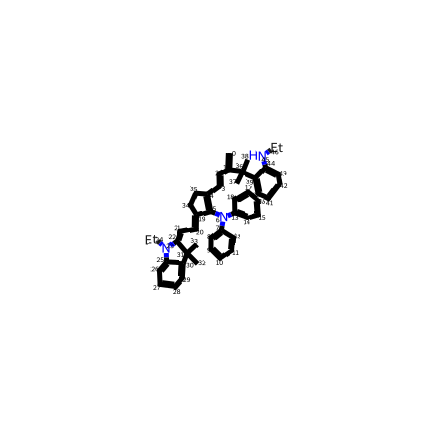 C=C(/C=C/C1=C(N(c2ccccc2)c2ccccc2)C(=C/C=C2/N(CC)c3ccccc3C2(C)C)/CC1)C(C)(C)c1ccccc1NCC